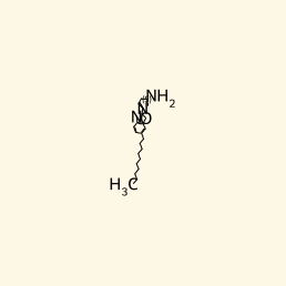 CCCCCCCCCCc1ccc2nc(N3CC[C@H](N)C3)oc2c1